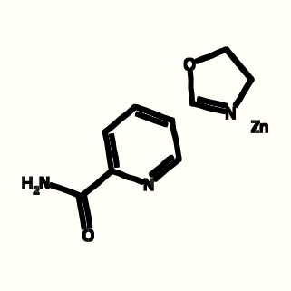 C1=NCCO1.NC(=O)c1ccccn1.[Zn]